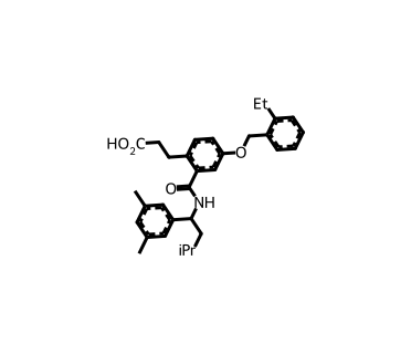 CCc1ccccc1COc1ccc(CCC(=O)O)c(C(=O)NC(CC(C)C)c2cc(C)cc(C)c2)c1